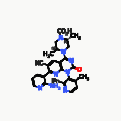 Cc1ccnc(C(C)C)c1-n1c(=O)nc(N2C[C@@H](C)N(C(=O)O)C[C@@H]2C)c2cc(C#N)c(-c3cccnc3N)nc21